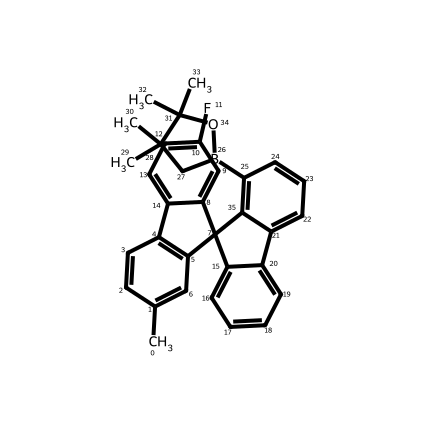 Cc1ccc2c(c1)C1(c3cc(F)ccc3-2)c2ccccc2-c2cccc(B3CC(C)(C)C(C)(C)O3)c21